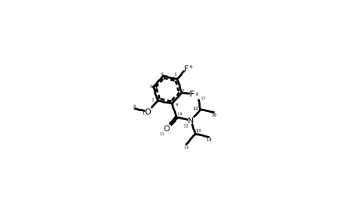 COc1ccc(F)c(F)c1C(=O)N(C(C)C)C(C)C